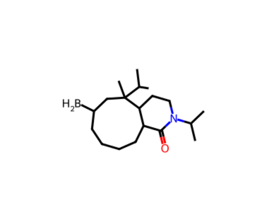 BC1CCCCC2C(=O)N(C(C)C)CCC2C(C)(C(C)C)C1